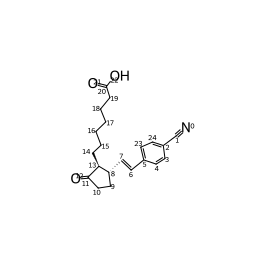 N#Cc1ccc(C=C[C@@H]2CCC(=O)[C@H]2CCCCCCC(=O)O)cc1